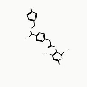 CCCC(SCc1ccc(Cl)cc1)c1ccc(CC(=O)Nc2c(SC)cc(C)nc2SC)cc1